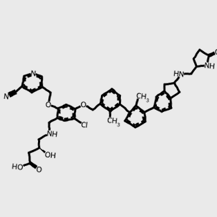 Cc1c(COc2cc(OCc3cncc(C#N)c3)c(CNC[C@@H](O)CC(=O)O)cc2Cl)cccc1-c1cccc(-c2ccc3c(c2)CC(NCC2CCC(=O)N2)C3)c1C